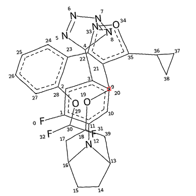 Fc1cc(C2N=NN=N2)ccc1N1C2CCC1CC(OCc1c(-c3ccccc3OC(F)F)noc1C1CC1)C2